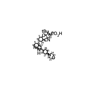 CC(C)(C)C1C(Oc2ccc(-c3ccnc4[nH]c(-c5ccc(N6CCOCC6)cc5)cc34)cc2C#N)CCN1C(=O)O